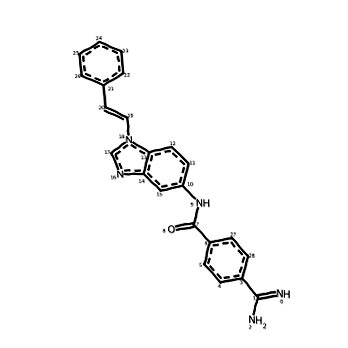 N=C(N)c1ccc(C(=O)Nc2ccc3c(c2)n[c]n3C=Cc2ccccc2)cc1